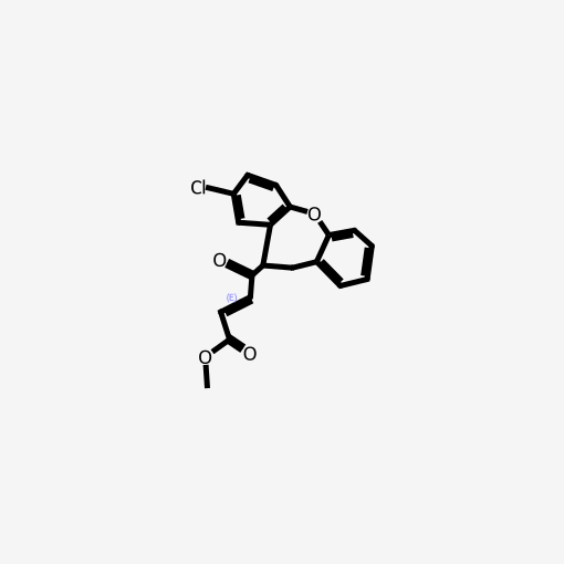 COC(=O)/C=C/C(=O)C1Cc2ccccc2Oc2ccc(Cl)cc21